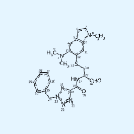 CN(C)c1cc2ccn(C)c2cc1SC[C@@H](C=O)NC(=O)c1nnn(Cc2ccccc2)n1